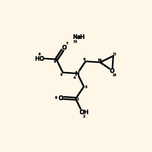 O=C(O)CN(CC(=O)O)CC1CO1.[NaH]